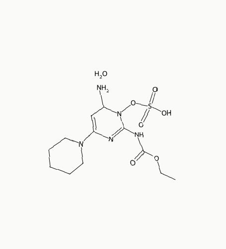 CCOC(=O)NC1=NC(N2CCCCC2)=CC(N)N1OS(=O)(=O)O.O